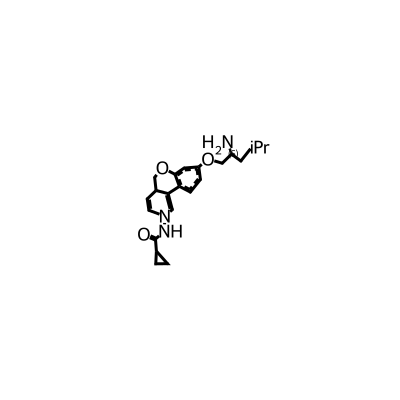 CC(C)C[C@H](N)COc1ccc2c(c1)OCC1C=CN(NC(=O)C3CC3)C=C21